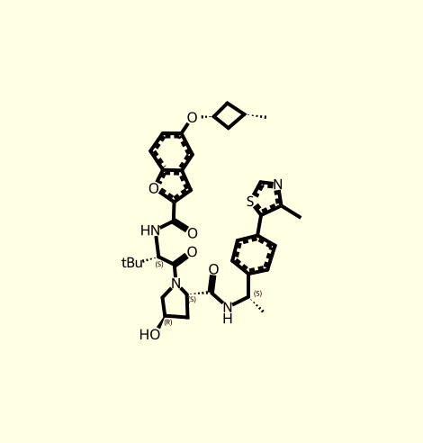 Cc1ncsc1-c1ccc([C@H](C)NC(=O)[C@@H]2C[C@@H](O)CN2C(=O)[C@@H](NC(=O)c2cc3cc(O[C@H]4C[C@@H](C)C4)ccc3o2)C(C)(C)C)cc1